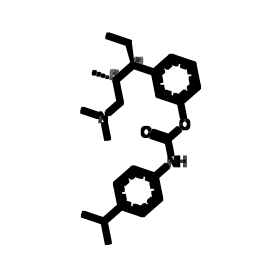 CC[C@@H](c1cccc(OC(=O)Nc2ccc(C(C)C)cc2)c1)[C@@H](C)CN(C)C